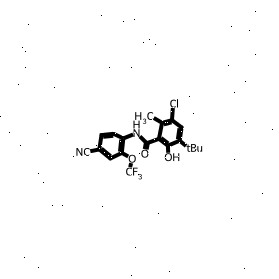 Cc1c(Cl)cc(C(C)(C)C)c(O)c1C(=O)Nc1ccc(C#N)cc1OC(F)(F)F